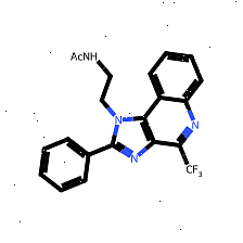 CC(=O)NCCn1c(-c2ccccc2)nc2c(C(F)(F)F)nc3ccccc3c21